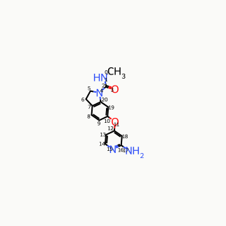 CNC(=O)N1CCc2ccc(Oc3ccnc(N)c3)cc21